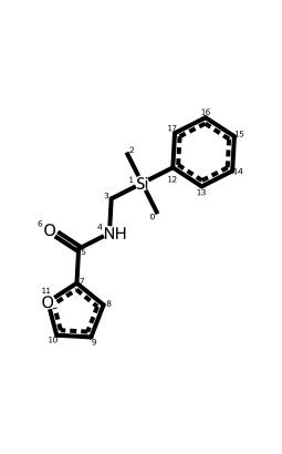 C[Si](C)(CNC(=O)c1ccco1)c1ccccc1